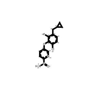 N[N+](=O)c1ccc(Oc2c(Cl)ccc([CH]C3CC3)c2F)cn1